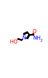 NC(=O)c1ccn(CCO)c1